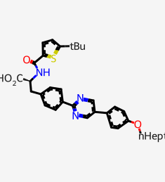 CCCCCCCOc1ccc(-c2cnc(-c3ccc(C[C@H](NC(=O)c4ccc(C(C)(C)C)s4)C(=O)O)cc3)nc2)cc1